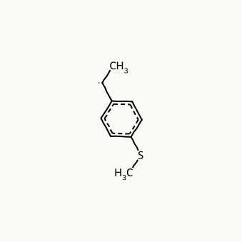 C[CH]c1ccc(SC)cc1